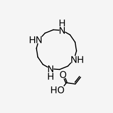 C1CNCCNCCCNCCNC1.C=CC(=O)O